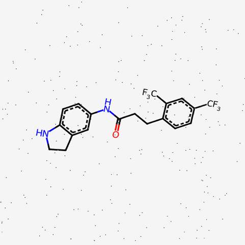 O=C(CCc1ccc(C(F)(F)F)cc1C(F)(F)F)Nc1ccc2c(c1)CCN2